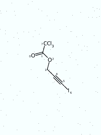 O=C(OCC#CI)C(Cl)(Cl)Cl